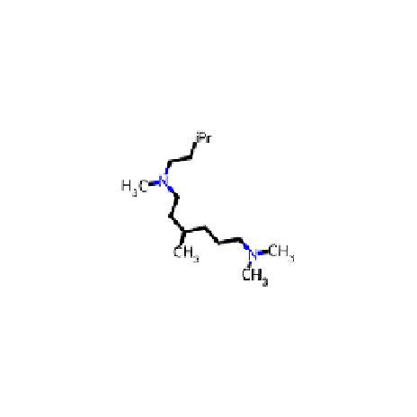 CC(C)CCN(C)CCC(C)CCCN(C)C